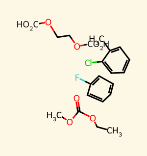 CCOC(=O)OC.Cc1ccccc1Cl.Fc1ccccc1.O=C(O)OCCOC(=O)O